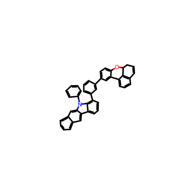 C1=Cc2cccc3c2C(C1)Oc1ccc(-c2cccc(-c4cccc5c6cc7ccccc7cc6n(-c6ccccc6)c45)c2)cc1-3